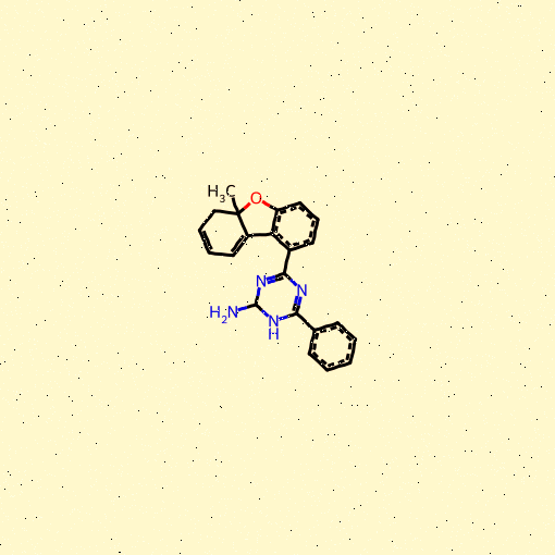 CC12CC=CC=C1c1c(cccc1C1=NC(N)NC(c3ccccc3)=N1)O2